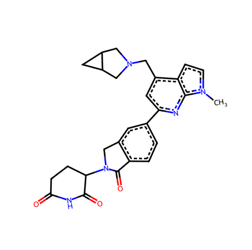 Cn1ccc2c(CN3CC4CC4C3)cc(-c3ccc4c(c3)CN(C3CCC(=O)NC3=O)C4=O)nc21